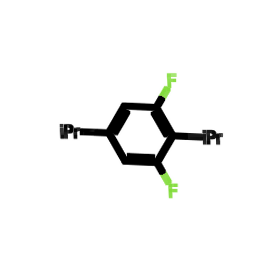 CC(C)c1cc(F)c(C(C)C)c(F)c1